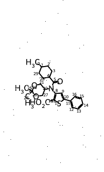 CC1CCC(C(=O)N(c2cc(-c3ccccc3)sc2C(=O)O)C2COC(C)(C)OC2)CC1